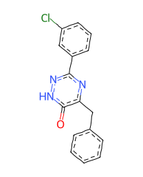 O=c1[nH]nc(-c2cccc(Cl)c2)nc1Cc1ccccc1